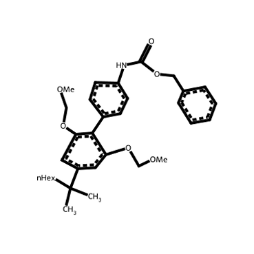 CCCCCCC(C)(C)c1cc(OCOC)c(-c2ccc(NC(=O)OCc3ccccc3)cc2)c(OCOC)c1